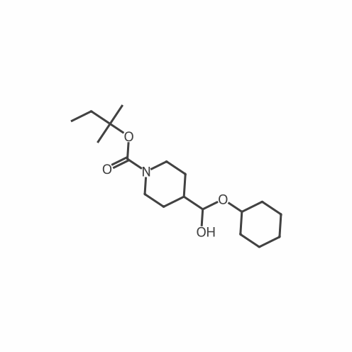 CCC(C)(C)OC(=O)N1CCC(C(O)OC2CCCCC2)CC1